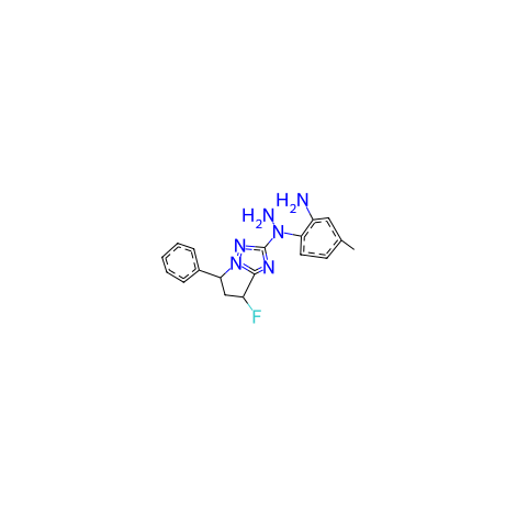 Cc1ccc(N(N)c2nc3n(n2)C(c2ccccc2)CC3F)c(N)c1